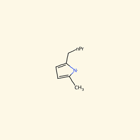 CCCCC1=CC=C(C)[N]1